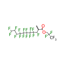 C=C(C(=O)OCC(F)(F)C(F)(F)F)C(F)C(F)(F)C(F)(F)C(F)(F)C(F)(F)C(F)(F)C(F)C(F)C(F)F